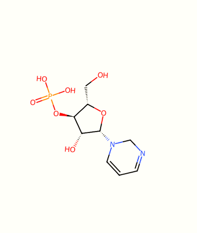 O=P(O)(O)O[C@@H]1[C@@H](O)[C@@H](N2C=CC=NC2)O[C@H]1CO